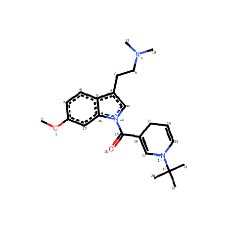 COc1ccc2c(CCN(C)C)cn(C(=O)C3=CN(C(C)(C)C)C=CC3)c2c1